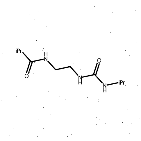 CC(C)NC(=O)NCCNC(=O)C(C)C